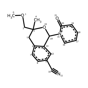 COCC1(C)Cc2ccc(C#N)cc2C(n2ccccc2=O)O1